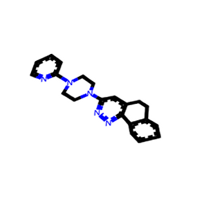 c1ccc(N2CCN(c3cc4c(nn3)-c3ccccc3CC4)CC2)nc1